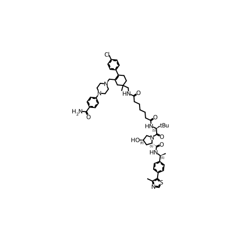 Cc1ncsc1-c1ccc([C@H](C)NC(=O)[C@@H]2C[C@@H](O)CN2C(=O)[C@@H](NC(=O)CCCCCC(=O)NCC2(C)CCC(c3ccc(Cl)cc3)=C(CN3CCN(c4ccc(C(N)=O)cc4)CC3)C2)C(C)(C)C)cc1